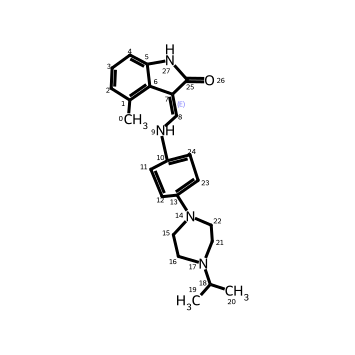 Cc1cccc2c1/C(=C\Nc1ccc(N3CCN(C(C)C)CC3)cc1)C(=O)N2